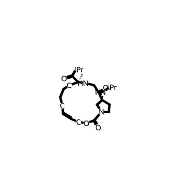 CC(C)N[C@]12CCN(C1)C(=O)OCC=CCCCC[C@@](C)(C(=O)C(C)C)NCC2=O